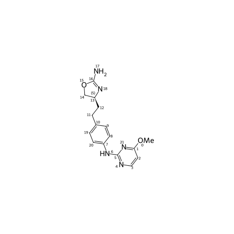 COc1ccnc(Nc2ccc(CC[C@H]3COC(N)=N3)cc2)n1